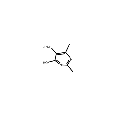 CC(=O)Nc1c(C)nc(C)nc1O